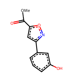 COC(=O)c1cc(-c2cccc(O)c2)no1